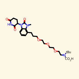 Cn1c(=O)n(C2CCC(=O)NC2=O)c2cccc(CCCOCCOCCOCCN(C(=O)O)C(C)(C)C)c21